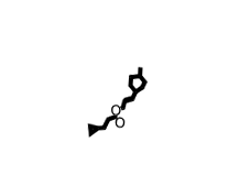 CC1CCC(/C=C/COC(=O)CCC2CC2)CC1